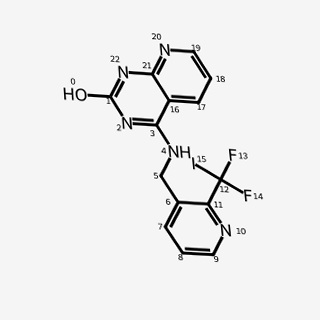 Oc1nc(NCc2cccnc2C(F)(F)I)c2cccnc2n1